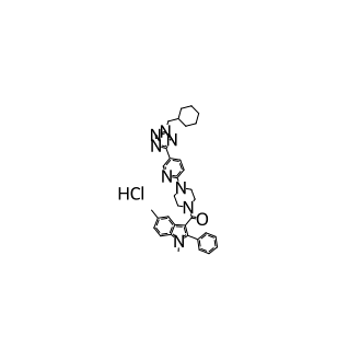 Cc1ccc2c(c1)c(C(=O)N1CCN(c3ccc(-c4nnn(CC5CCCCC5)n4)cn3)CC1)c(-c1ccccc1)n2C.Cl